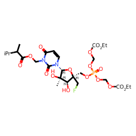 CCOC(=O)OCOP(=O)(OCOC(=O)OCC)OC[C@@]1(CF)O[C@@H](n2ccc(=O)n(COC(=O)C(C)C(C)C)c2=O)[C@](C)(O)[C@@H]1O